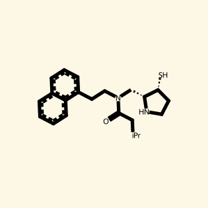 CC(C)CC(=O)N(CCc1cccc2ccccc12)C[C@H]1NCC[C@H]1S